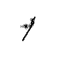 CCCCCCCCCCCCCCCCCC(=O)Oc1ccc(C(=O)OCCC)cc1.O=P([O-])(O)O.[K+]